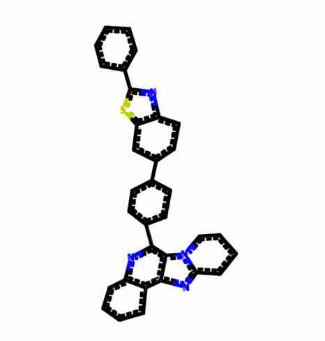 c1ccc(-c2nc3ccc(-c4ccc(-c5nc6ccccc6c6nc7ccccn7c56)cc4)cc3s2)cc1